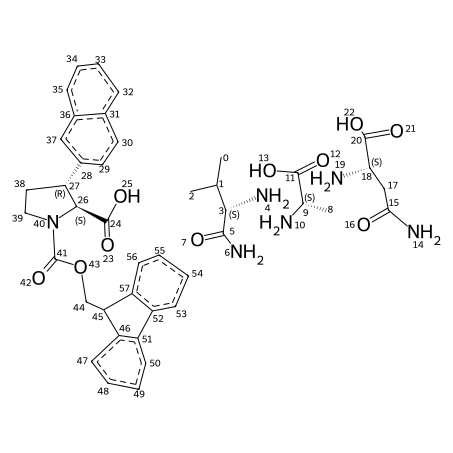 CC(C)[C@H](N)C(N)=O.C[C@H](N)C(=O)O.NC(=O)C[C@H](N)C(=O)O.O=C(O)[C@@H]1[C@@H](c2ccc3ccccc3c2)CCN1C(=O)OCC1c2ccccc2-c2ccccc21